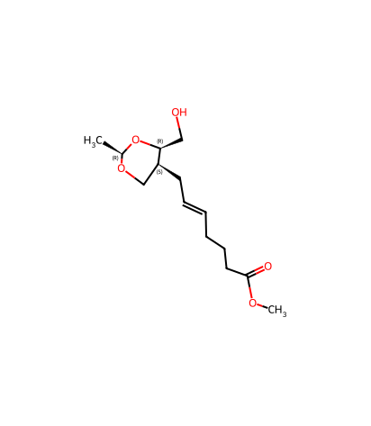 COC(=O)CCCC=CC[C@H]1CO[C@@H](C)O[C@H]1CO